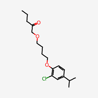 CCCC(=O)COCCCCOc1ccc(C(C)C)cc1Cl